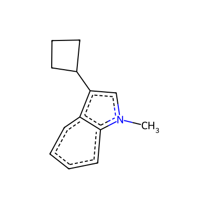 Cn1cc(C2CCC2)c2ccccc21